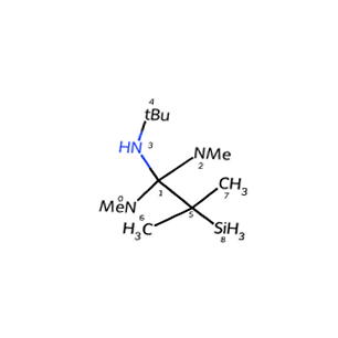 CNC(NC)(NC(C)(C)C)C(C)(C)[SiH3]